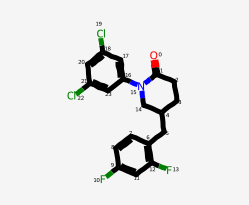 O=C1CCC(Cc2ccc(F)cc2F)CN1c1cc(Cl)cc(Cl)c1